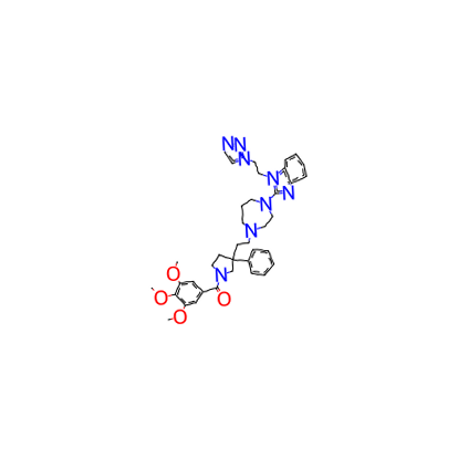 COc1cc(C(=O)N2CCC(CCN3CCCN(c4nc5ccccc5n4CCn4ccnn4)CC3)(c3ccccc3)C2)cc(OC)c1OC